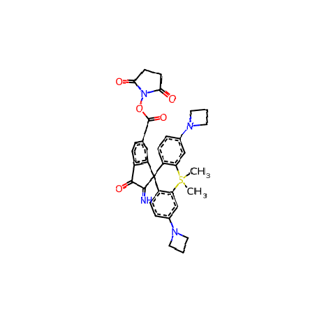 CS1(C)c2cc(N3CCC3)ccc2C2(C(=N)C(=O)c3ccc(C(=O)ON4C(=O)CCC4=O)cc32)c2ccc(N3CCC3)cc21